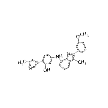 COc1cccc(-n2nc3c(Nc4ccc(-n5cnc(C)c5)c(O)c4)cccc3c2C)c1